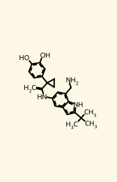 C=C(Nc1cc(CN)c2[nH]c(C(C)(C)C)cc2c1)C1(c2ccc(O)c(O)c2)CC1